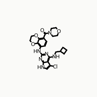 O=C(c1ccc(Nc2nc(NCC3CCC3)c3c(Cl)c[nH]c3n2)c2c1OCCO2)N1CCOCC1